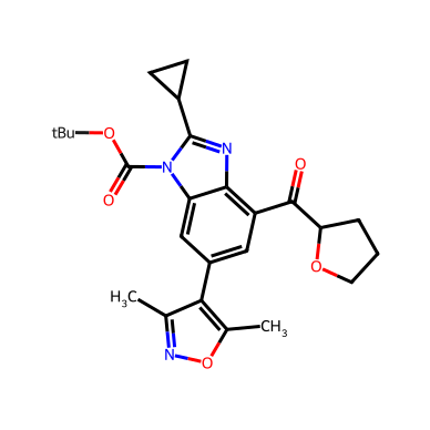 Cc1noc(C)c1-c1cc(C(=O)C2CCCO2)c2nc(C3CC3)n(C(=O)OC(C)(C)C)c2c1